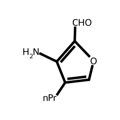 CCCc1coc(C=O)c1N